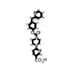 O=C(O)c1ccc(N2CCN(C(=O)Oc3ccc(Cc4ccccn4)cc3)CC2)nc1